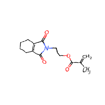 C=C(C)C(=O)OCCN1C(=O)C2=C(CCCC2)C1=O